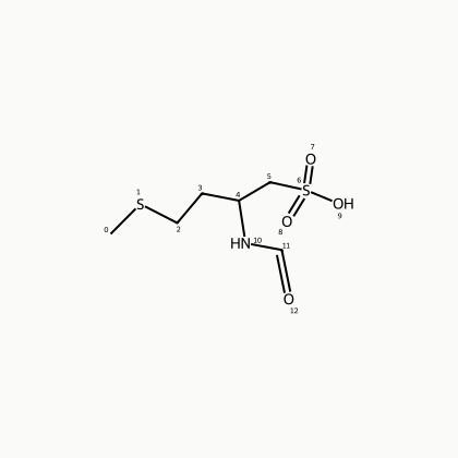 CSCCC(CS(=O)(=O)O)NC=O